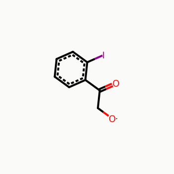 [O]CC(=O)c1ccccc1I